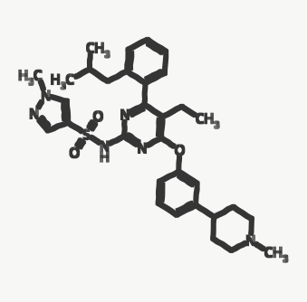 CCc1c(Oc2cccc(C3CCN(C)CC3)c2)nc(NS(=O)(=O)c2cnn(C)c2)nc1-c1ccccc1CC(C)C